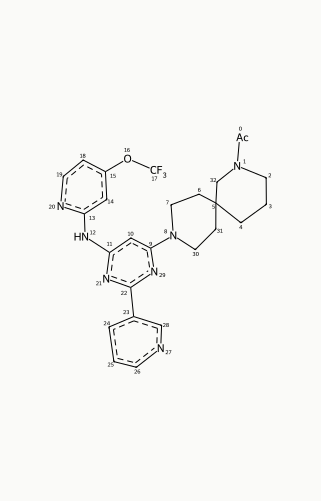 CC(=O)N1CCCC2(CCN(c3cc(Nc4cc(OC(F)(F)F)ccn4)nc(-c4cccnc4)n3)CC2)C1